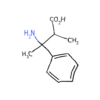 CC(C(=O)O)C(C)(N)c1ccccc1